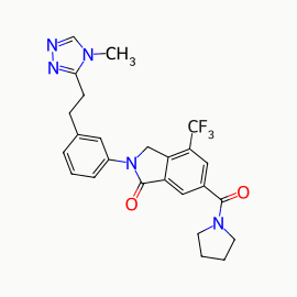 Cn1cnnc1CCc1cccc(N2Cc3c(cc(C(=O)N4CCCC4)cc3C(F)(F)F)C2=O)c1